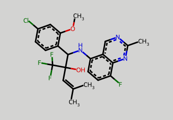 COc1cc(Cl)ccc1C(Nc1ccc(F)c2nc(C)ncc12)C(O)(C=C(C)C)C(F)(F)F